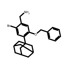 NCc1cc(OCc2ccccc2)c(C23CC4CC(CC(C4)C2)C3)cc1Br